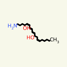 CCCCC/C=C\C[C@H](O)/C=C/C=C/C=C\[C@H](O)CCCN